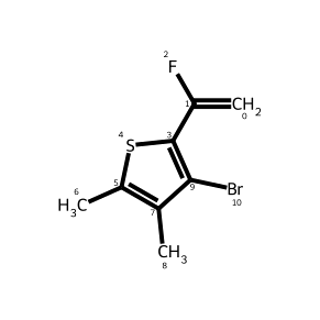 C=C(F)c1sc(C)c(C)c1Br